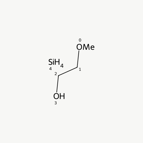 COCCO.[SiH4]